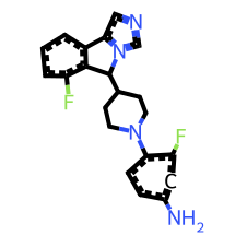 Nc1ccc(N2CCC(C3c4c(F)cccc4-c4cncn43)CC2)c(F)c1